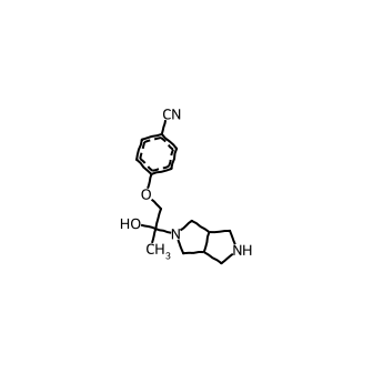 CC(O)(COc1ccc(C#N)cc1)N1CC2CNCC2C1